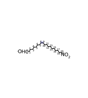 O=[C]CCCCCCC/C=C\CCCCCCCCCC[N+](=O)[O-]